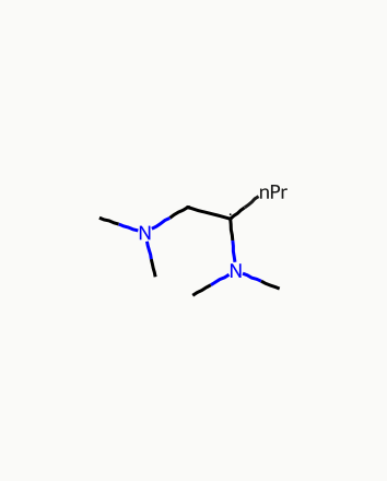 CCC[C](CN(C)C)N(C)C